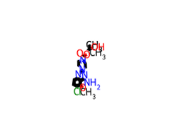 COc1c(Cl)ccc2nc(N3CCN(C(=O)OCC(C)(C)O)CC3)nc(N)c12